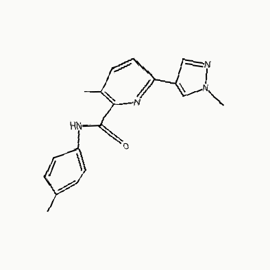 Cc1ccc(NC(=O)c2nc(-c3cnn(C)c3)ccc2C)cc1